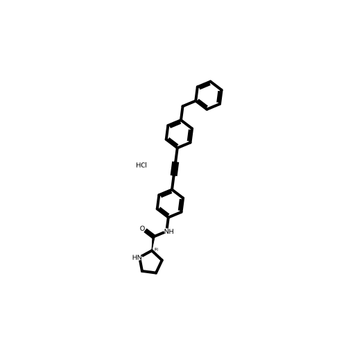 Cl.O=C(Nc1ccc(C#Cc2ccc(Cc3ccccc3)cc2)cc1)[C@H]1CCCN1